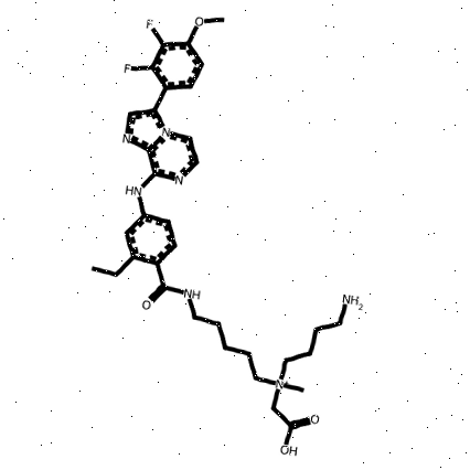 CCc1cc(Nc2nccn3c(-c4ccc(OC)c(F)c4F)cnc23)ccc1C(=O)NCCCCC[N+](C)(CCCCN)CC(=O)O